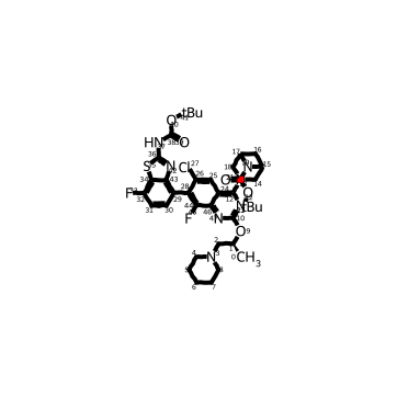 C[C@@H](CN1CCCCC1)Oc1nc(N2CC3CC(C2)N3C(=O)OC(C)(C)C)c2cc(Cl)c(-c3ccc(F)c4sc(NC(=O)OC(C)(C)C)nc34)c(F)c2n1